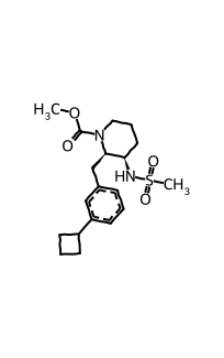 COC(=O)N1CCC[C@@H](NS(C)(=O)=O)[C@H]1Cc1cccc(C2CCC2)c1